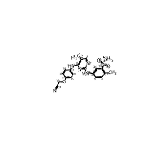 Cc1ccc(Nc2ncc(C)c(Nc3ccc(OCC#N)cc3)n2)cc1S(N)(=O)=O